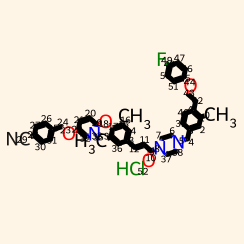 Cc1cc(CN2CCN(C(=O)/C=C/c3cc(C)c(Oc4ccc(OCc5ccc(C#N)cc5)cn4)c(C)c3)CC2)ccc1CCOc1ccc(F)cc1.Cl